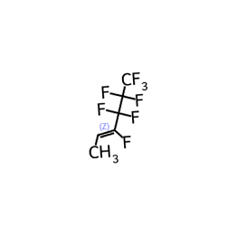 C/C=C(\F)C(F)(F)C(F)(F)C(F)(F)F